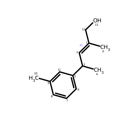 C/C(=C\C(C)c1cccc(C)c1)CO